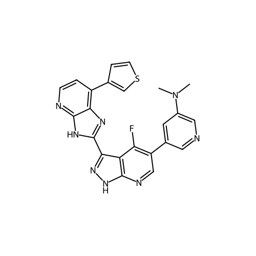 CN(C)c1cncc(-c2cnc3[nH]nc(-c4nc5c(-c6ccsc6)ccnc5[nH]4)c3c2F)c1